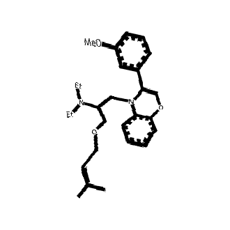 CCN(CC)C(COCC=C(C)C)CN1c2ccccc2OCC1c1cccc(OC)c1